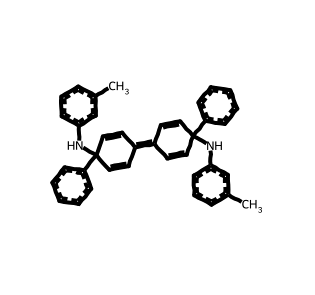 Cc1cccc(NC2(c3ccccc3)C=CC(=C3C=CC(Nc4cccc(C)c4)(c4ccccc4)C=C3)C=C2)c1